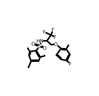 Cc1cc(C)c(S(=O)(=O)NC(COc2ccc(F)cc2C)C(F)(F)F)c(C)c1